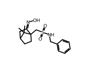 CC1(C)C2CCC1(CS(=O)(=O)NCc1ccccc1)C(=NO)C2